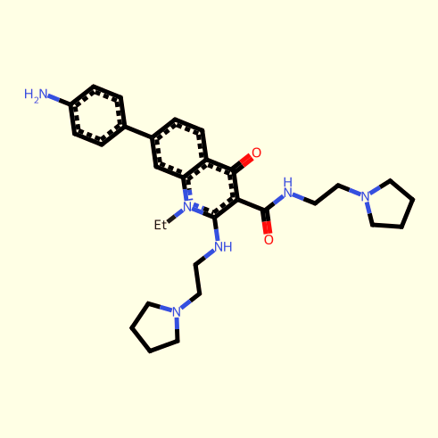 CCn1c(NCCN2CCCC2)c(C(=O)NCCN2CCCC2)c(=O)c2ccc(-c3ccc(N)cc3)cc21